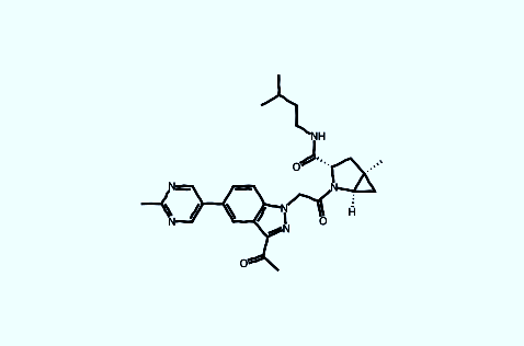 CC(=O)c1nn(CC(=O)N2[C@H](C(=O)NCCC(C)C)C[C@@]3(C)C[C@@H]23)c2ccc(-c3cnc(C)nc3)cc12